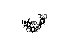 CCOC(=O)C1=C(C)NC(C)=C(C(=O)OCC)C1c1cccc(-c2nc(-c3ccc(Cl)c(Cl)c3)cs2)c1